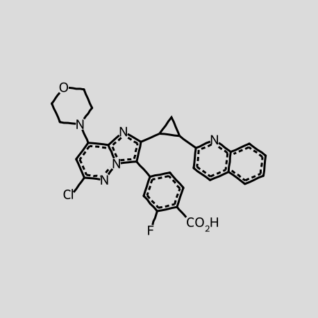 O=C(O)c1ccc(-c2c(C3CC3c3ccc4ccccc4n3)nc3c(N4CCOCC4)cc(Cl)nn23)cc1F